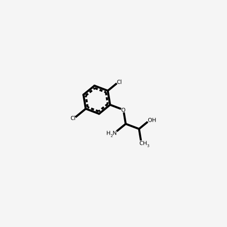 CC(O)C(N)Oc1cc(Cl)ccc1Cl